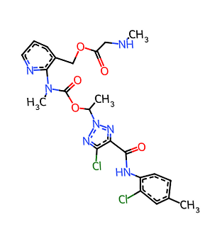 CNCC(=O)OCc1cccnc1N(C)C(=O)OC(C)n1nc(Cl)c(C(=O)Nc2ccc(C)cc2Cl)n1